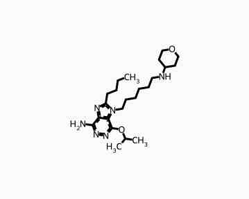 CCCCc1nc2c(N)nnc(OC(C)C)c2n1CCCCCCNC1CCOCC1